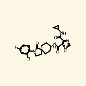 O=C(NC1CC1)c1nc[nH]c1C(=O)N[C@H]1CC[C@]2(CCN(c3ccc(F)cc3Cl)C2=O)CC1